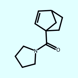 O=C(N1CCCC1)C12C=CC(CC1)C2